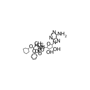 C[C@H](N[P@](=O)(Oc1ccccc1)O[C@@H](C)[C@H]1O[C@@H](n2cnc3c(N)ncnc32)[C@H](O)[C@@H]1O)C(=O)OC1CCCCC1